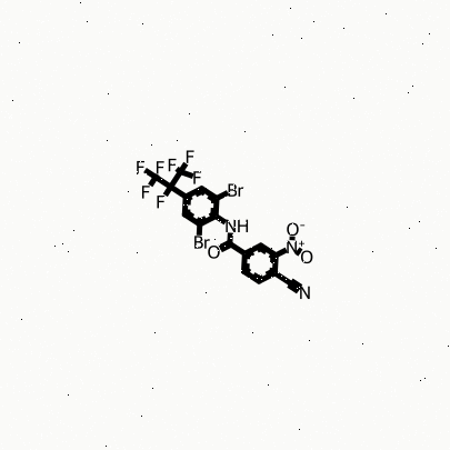 N#Cc1ccc(C(=O)Nc2c(Br)cc(C(F)(C(F)(F)F)C(F)(F)F)cc2Br)cc1[N+](=O)[O-]